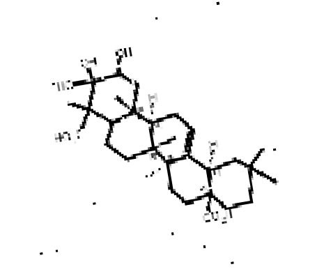 CC1(C)CC[C@]2(C(=O)O)CC[C@]3(C)C(=CC[C@@H]4[C@@]5(C)CC(O)C(O)(O)C(C)(C(=O)O)C5CC[C@]43C)[C@H]2C1